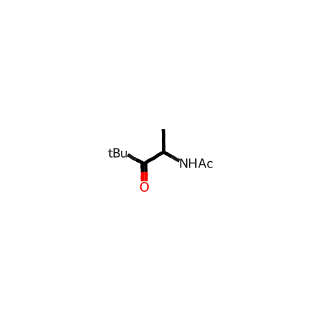 CC(=O)NC(C)C(=O)C(C)(C)C